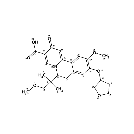 COCC(C)(C)C1Cc2cc(OC3CCOC3)c(OC)cc2-c2cc(=O)c(C(=O)O)cn21